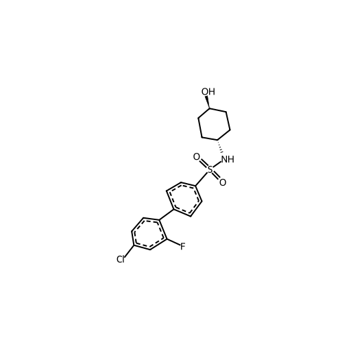 O=S(=O)(N[C@H]1CC[C@H](O)CC1)c1ccc(-c2ccc(Cl)cc2F)cc1